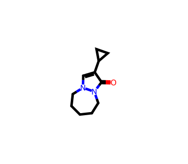 O=c1c(C2CC2)cn2n1CCCCC2